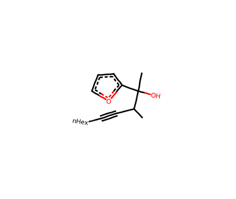 CCCCCCC#CC(C)C(C)(O)c1ccco1